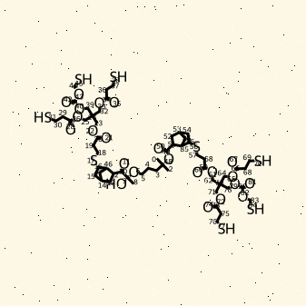 CC(C)(CCCOC(C)(O)C(=O)C1CC2CC(SCCC(=O)OCC(COC(=O)CCS)(COC(=O)CCS)COC(=O)OCS)C1C2)OC(=O)C1CC2CC(SCCC(=O)OCC(COC(=O)CCS)(COC(=O)CCS)COC(=O)OCS)C1C2